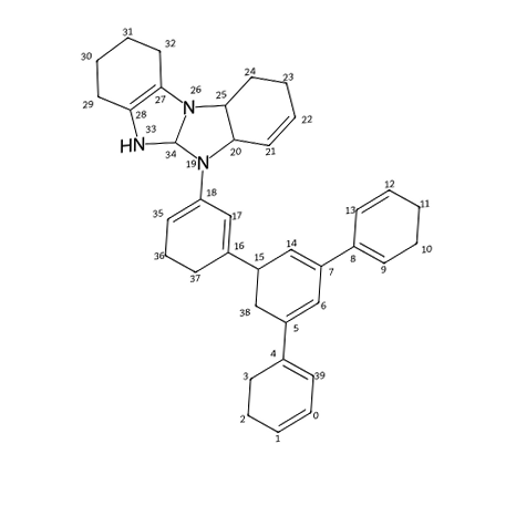 C1=CCCC(C2=CC(C3=CCCC=C3)=CC(C3=CC(N4C5C=CCCC5N5C6=C(CCCC6)NC45)=CCC3)C2)=C1